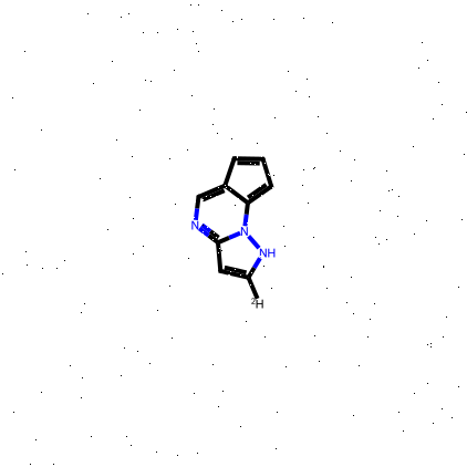 [2H]c1cc2ncc3cccc-3n2[nH]1